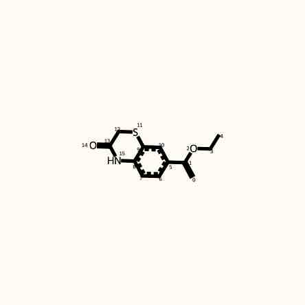 C=C(OCC)c1ccc2c(c1)SCC(=O)N2